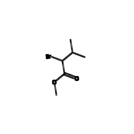 COC(=O)C(Br)C(C)C